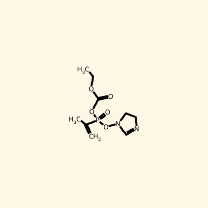 C=C(C)P(=O)(OC(=O)OCC)ON1C=NCC1